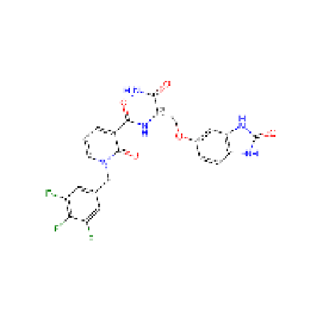 NC(=O)[C@H](COc1ccc2[nH]c(=O)[nH]c2c1)NC(=O)c1cccn(Cc2cc(F)c(F)c(F)c2)c1=O